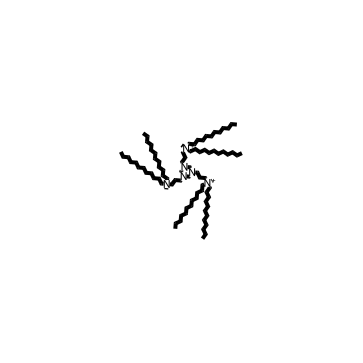 CCCCCCCCCCCC[N+](C)(CCCCCCCCCCCC)CCCN1CN(CCC[N+](C)(CCCCCCCCCCCC)CCCCCCCCCCCC)CN(CCC[N+](C)(CCCCCCCCCCCC)CCCCCCCCCCCC)C1